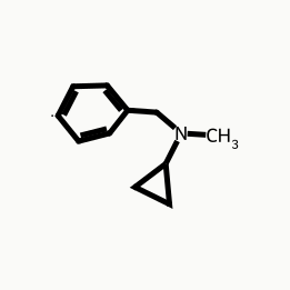 CN(Cc1cc[c]cc1)C1CC1